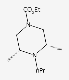 CCCN1[C@H](C)CN(C(=O)OCC)C[C@@H]1C